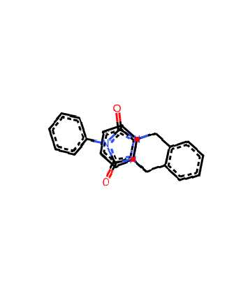 O=c1n(-c2ccccc2)c(=O)n2n1C1c3ccccc3C2c2ccccc21